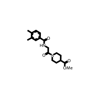 COC(=O)C1CCN(C(=O)CNC(=O)c2ccc(C)c(C)c2)CC1